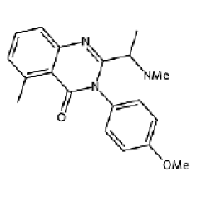 CNC(C)c1nc2cccc(C)c2c(=O)n1-c1ccc(OC)cc1